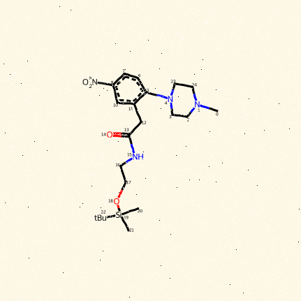 CN1CCN(c2ccc([N+](=O)[O-])cc2CC(=O)NCCO[Si](C)(C)C(C)(C)C)CC1